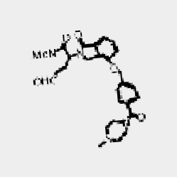 CNC(=O)C(CCC=O)N1Cc2c(OCc3ccc(C(=O)N4CCN(C)CC4)cc3)cccc2C1=O